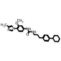 COc1cc(NC(=O)NCCCc2ccc(C3CCCCC3)cc2)ccc1-n1cnc(C)c1